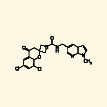 Cn1ccc2cc(CNC(=O)N3CC4(CC(=O)c5cc(Cl)cc(Cl)c5O4)C3)cnc21